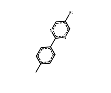 CCc1cnc(-c2ccc(C)cc2)nc1